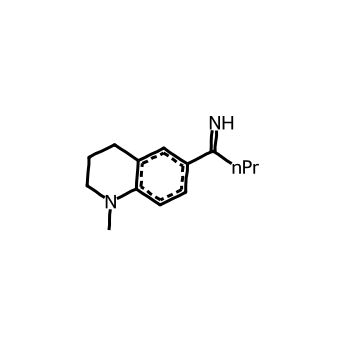 CCCC(=N)c1ccc2c(c1)CCCN2C